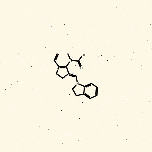 C=CC1=C(N(C)C(=O)O)/C(=C/N2CCc3ccccc32)CC1